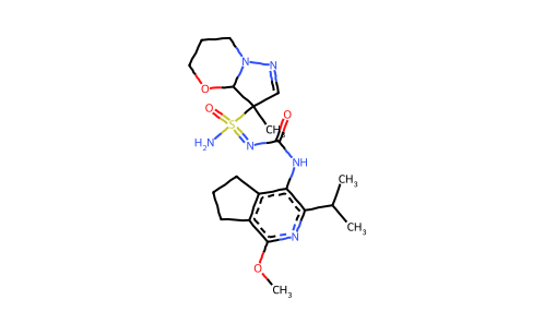 COc1nc(C(C)C)c(NC(=O)N=S(N)(=O)C2(C)C=NN3CCCOC32)c2c1CCC2